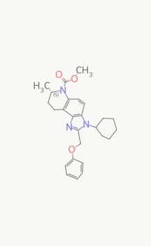 COC(=O)N1c2ccc3c(nc(COc4ccccc4)n3C3CCCCC3)c2CC[C@@H]1C